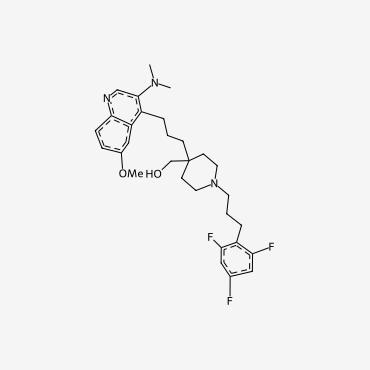 COc1ccc2ncc(N(C)C)c(CCCC3(CO)CCN(CCCc4c(F)cc(F)cc4F)CC3)c2c1